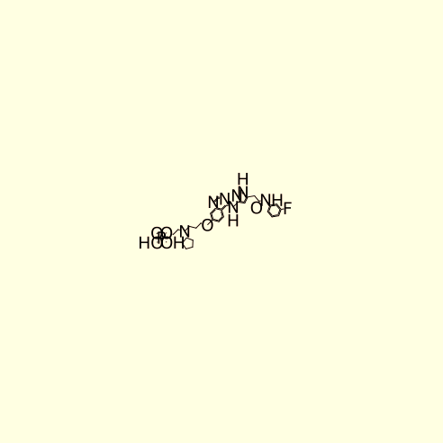 O=C(Cc1cc(Nc2ncnc3cc(OCCCN(CCOP(=O)(O)O)C4CCCC4)ccc23)n[nH]1)Nc1cccc(F)c1